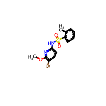 COc1nc(NS(=O)(=O)c2ccccc2C)ccc1Br